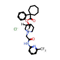 O=C(C[N+]12CCC(CC1)[C@@H](OC(=O)C1(c3ccccc3)CCCCCC1)C2)Nc1cccc(C(F)(F)F)n1.[Cl-]